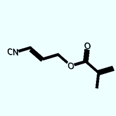 [C-]#[N+]C=CCOC(=O)C(=C)C